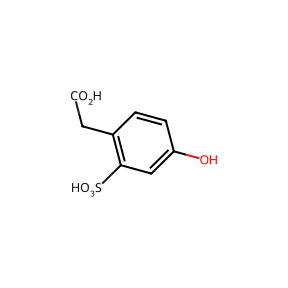 O=C(O)Cc1ccc(O)cc1S(=O)(=O)O